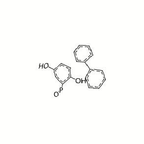 O=Pc1cc(O)ccc1O.c1ccc(-c2ccccc2)cc1